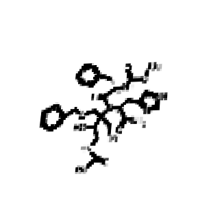 CCCCC(=O)NCC(O)C(COCc1ccccc1)(CC(C)C)N(C(=O)[C@H](Cc1ccccc1)NC(=O)OC(C)(C)C)[C@@H](Cc1c[nH]cn1)C(N)=O